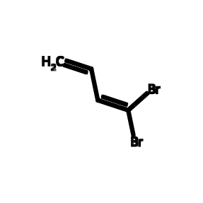 C=CC=C(Br)Br